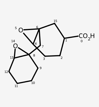 O=C(O)C1CCC2OC2(CC23CCCCC2O3)C1